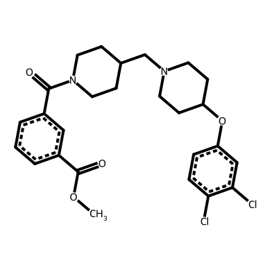 COC(=O)c1cccc(C(=O)N2CCC(CN3CCC(Oc4ccc(Cl)c(Cl)c4)CC3)CC2)c1